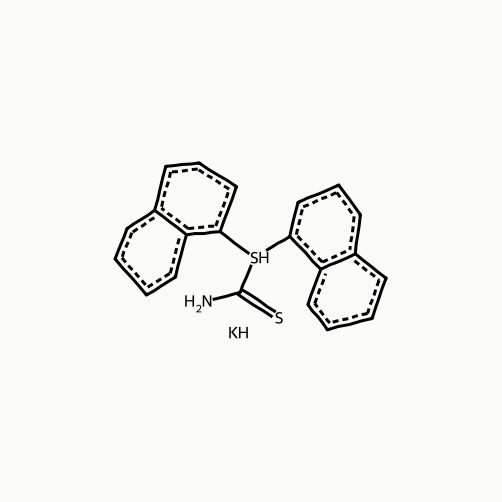 NC(=S)[SH](c1cccc2ccccc12)c1cccc2ccccc12.[KH]